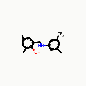 Cc1cc(NCc2cc(C)cc(C)c2O)cc(C(F)(F)F)c1